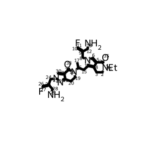 CCN1CCc2c(cn(C/C(=C/F)CN)c2CC(C)N2CCc3nn(C/C(=C/F)CN)cc3C2=O)C1=O